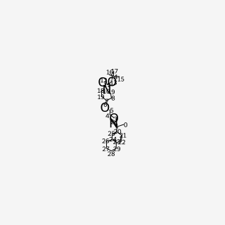 CC(=NOCCOC1CCN(C(=O)OC(C)(C)C)CC1)c1ccc2c(c1)CCCC2